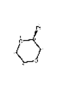 CC[C@H]1COCCO1